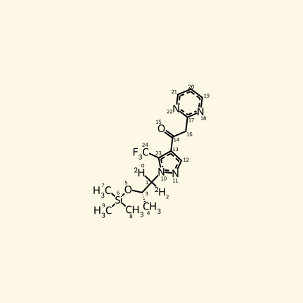 [2H]C([2H])([C@H](C)O[Si](C)(C)C)n1ncc(C(=O)Cc2ncccn2)c1C(F)(F)F